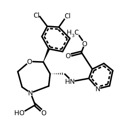 COC(=O)c1cccnc1NC[C@@H]1CN(C(=O)O)CCO[C@H]1c1ccc(Cl)c(Cl)c1